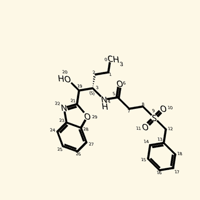 CCC[C@H](NC(=O)CCS(=O)(=O)Cc1ccccc1)C(O)c1nc2ccccc2o1